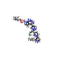 C[Si](C)(C)CCOCn1ccc2c(-c3cnn(C(CF)[C@H]4CCN(c5scnc5C#N)C4)c3)ncnc21